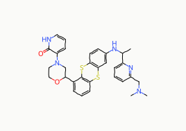 CC(Nc1ccc2c(c1)Sc1cccc(C3CN(c4ccc[nH]c4=O)CCO3)c1S2)c1cccc(CN(C)C)n1